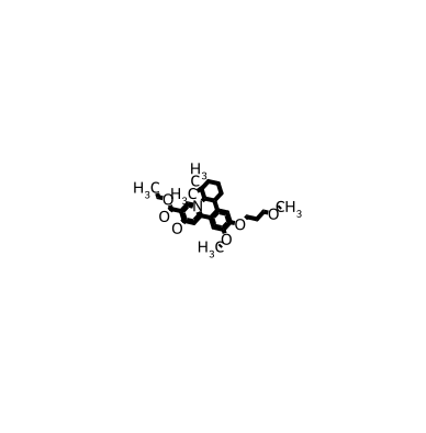 CCOC(=O)c1cn2c(cc1=O)-c1cc(OC)c(OCCCOC)cc1C1CCCC(C)(C)C12